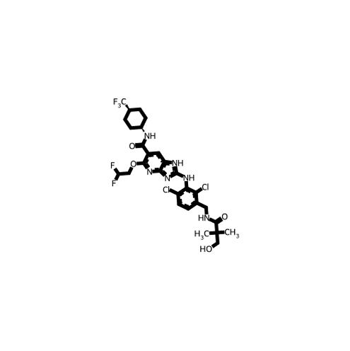 CC(C)(CO)C(=O)NCc1ccc(Cl)c(Nc2nc3nc(OCC(F)F)c(C(=O)N[C@H]4CC[C@H](C(F)(F)F)CC4)cc3[nH]2)c1Cl